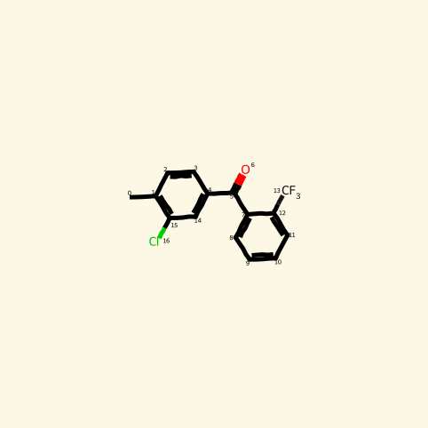 Cc1ccc(C(=O)c2ccccc2C(F)(F)F)cc1Cl